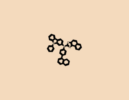 C1=Cc2cccc(-c3ccc(N(c4ccc5c6ccccc6n(-c6ccccc6)c5c4)c4nc5c(ccc6ccccc65)o4)cc3)c2CC1